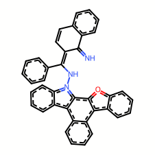 N=C1/C(=C(\Nn2c3ccccc3c3c4ccccc4c4c5ccccc5oc4c32)c2ccccc2)C=Cc2ccccc21